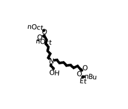 CCCCCCCCOC(CCCCCCN(CCO)CCCCCCCC(=O)OC(CC)CCCC)OCCCCCCCC